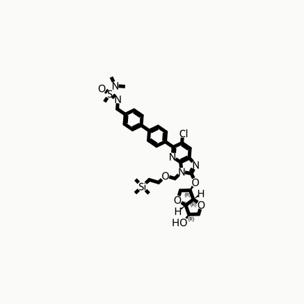 CN(C)S(C)(=O)=NCc1ccc(-c2ccc(-c3nc4c(cc3Cl)nc(O[C@@H]3CO[C@H]5[C@@H]3OC[C@H]5O)n4COCC[Si](C)(C)C)cc2)cc1